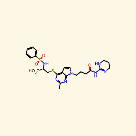 Cc1nc(SC[C@H](NS(=O)(=O)c2ccccc2)C(=O)O)c2ccn(CCCC(=O)NC3=NCCCN3)c2n1